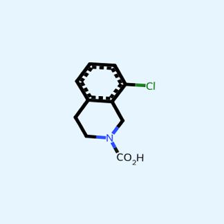 O=C(O)N1CCc2cccc(Cl)c2C1